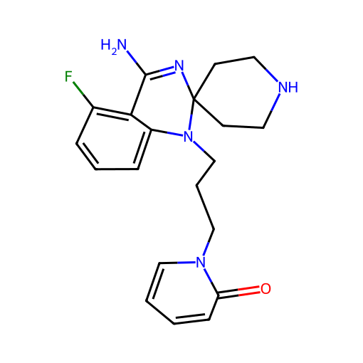 NC1=NC2(CCNCC2)N(CCCn2ccccc2=O)c2cccc(F)c21